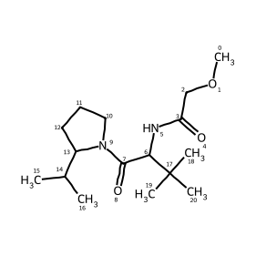 COCC(=O)NC(C(=O)N1CCCC1C(C)C)C(C)(C)C